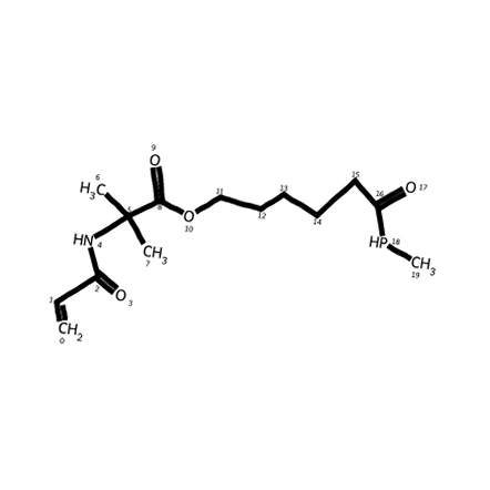 C=CC(=O)NC(C)(C)C(=O)OCCCCCC(=O)PC